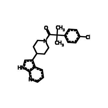 CC(C)(C(=O)N1CCC(c2c[nH]c3ncccc23)CC1)c1ccc(Cl)cc1